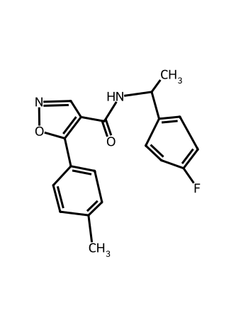 Cc1ccc(-c2oncc2C(=O)NC(C)c2ccc(F)cc2)cc1